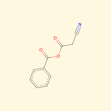 N#CCC(=O)OC(=O)c1ccccc1